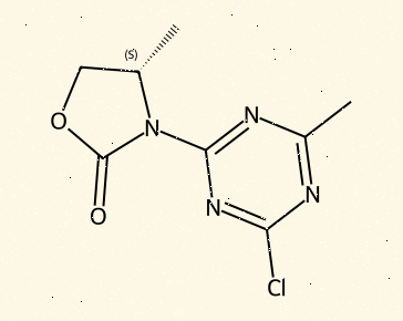 Cc1nc(Cl)nc(N2C(=O)OC[C@@H]2C)n1